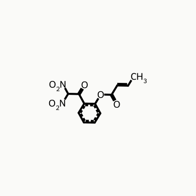 CC=CC(=O)Oc1ccccc1C(=O)C([N+](=O)[O-])[N+](=O)[O-]